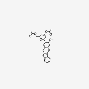 COc1cc(F)c(Cc2cc3ccccc3s2)cc1C1C[C@@H](OC(C)=O)CC(COC(C)=O)O1